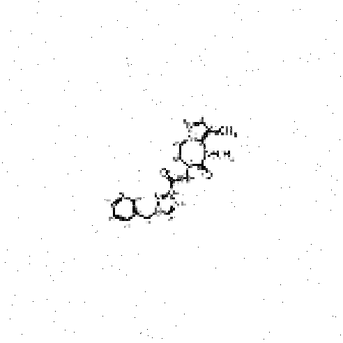 Cc1cnn2c1N(C)C(=O)[C@@H](NC(=O)c1ncn(Cc3ccccc3)n1)CC2